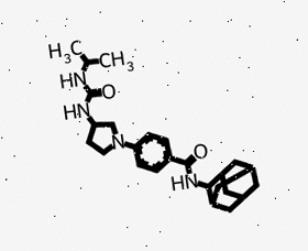 CC(C)NC(=O)NC1CCN(c2ccc(C(=O)NC3C4CC5CC(C4)CC3C5)cc2)C1